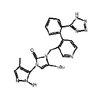 CCCCc1cn(-c2c(C)cnn2C(C)C)c(=O)n1Cc1cnccc1-c1ccccc1-c1nnn[nH]1